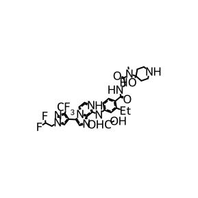 CCc1cc(Nc2nccn3c(-c4cn(CC(F)F)nc4C(F)(F)F)cnc23)ccc1C(=O)NCC(=O)N(C)C1(O)CCNCC1.O=CO